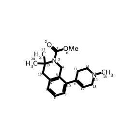 COC(=O)N1Cc2c(cccc2C2=CCN(C)CC2)CC1(C)C